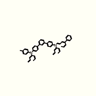 C=C/C=C(\C=C/C)N(/C=C/C=C(\C=C/C)c1ccccc1)c1ccc(-c2cccc(-c3ccc(N(C(/C=C\C)=C/C=C)c4ccc(C)cc4)cc3)c2)cc1